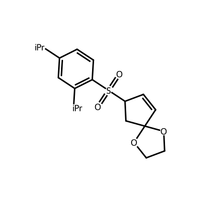 CC(C)c1ccc(S(=O)(=O)C2C=CC3(C2)OCCO3)c(C(C)C)c1